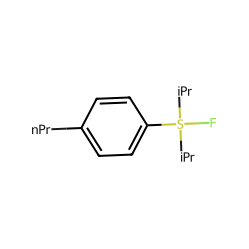 CCCc1ccc(S(F)(C(C)C)C(C)C)cc1